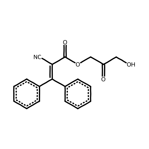 N#CC(C(=O)OCC(=O)CO)=C(c1ccccc1)c1ccccc1